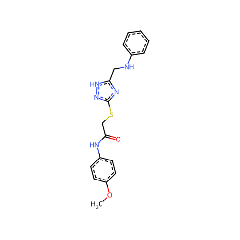 COc1ccc(NC(=O)CSc2n[nH]c(CNc3ccccc3)n2)cc1